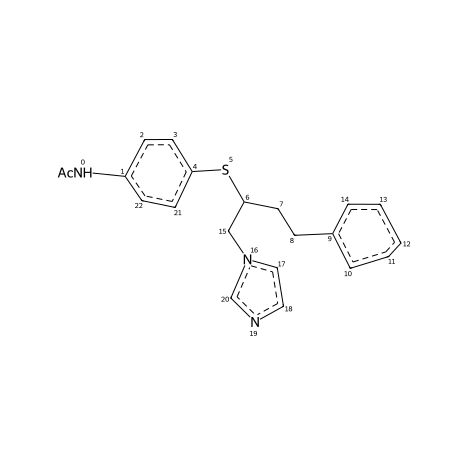 CC(=O)Nc1ccc(SC(CCc2ccccc2)Cn2ccnc2)cc1